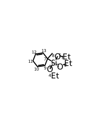 CCO[Si](OCC)(OCC)C1(C)C=CCC=C1